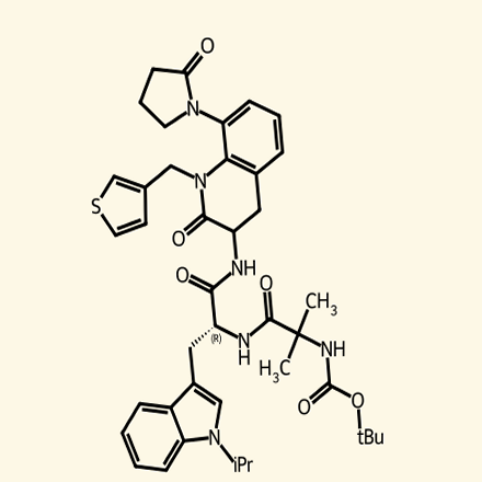 CC(C)n1cc(C[C@@H](NC(=O)C(C)(C)NC(=O)OC(C)(C)C)C(=O)NC2Cc3cccc(N4CCCC4=O)c3N(Cc3ccsc3)C2=O)c2ccccc21